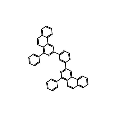 c1ccc(-c2nc(-c3ncnc(-c4nc(-c5ccccc5)c5ccc6ccccc6c5n4)n3)nc3c2ccc2ccccc23)cc1